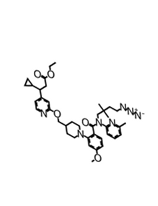 CCOC(=O)CC(c1ccnc(OCC2CCN(c3cc(OC)ccc3C(=O)N(CC(C)(C)CCN=[N+]=[N-])c3cccc(C)n3)CC2)c1)C1CC1